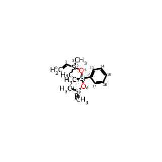 C=C[Si](C)(C)O[Si](C)(O[SiH](C)C)c1ccccc1